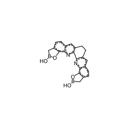 OB1Cc2ccc3cc4c(nc3c2O1)-c1nc2c3c(ccc2cc1CC4)CB(O)O3